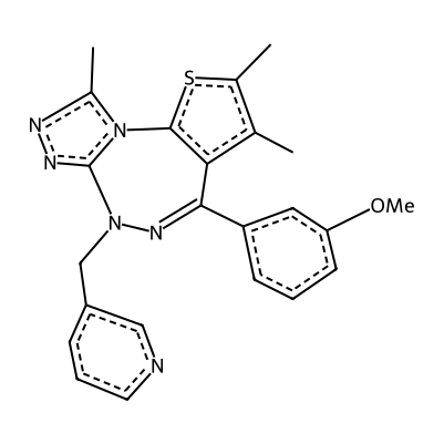 COc1cccc(C2=NN(Cc3cccnc3)c3nnc(C)n3-c3sc(C)c(C)c32)c1